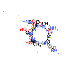 Cc1sc2nc1C(=O)N[C@@H]([C@H](OC(=O)N1CCNCC1)c1ccccc1)c1nc(cs1)C(=O)N[C@@H](Cc1ccc(O)cc1)C(=O)N1C[C@H](O)[C@H](C)[C@H]1c1nc(cs1)-c1nc(cs1)-c1nc(-c3nc(C(N)=O)cs3)ccc1-c1nc(cs1)C(=O)N[C@H]2CC(N)=O